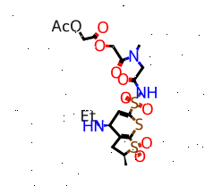 CCN[C@H]1C=C(S(=O)(=O)NC(=O)CN(C)C(=O)COC(=O)COC(C)=O)SC2=C1C[C@H](C)S2(=O)=O